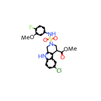 COC(=O)C1CN(S(=O)(=O)Nc2ccc(F)c(OC)c2)Cc2[nH]c3ccc(Cl)cc3c21